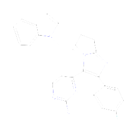 Nc1nccc(-c2c(-c3ccc(F)cc3)nc3n2[C@H](Cn2ccc4ccccc42)CC3)n1